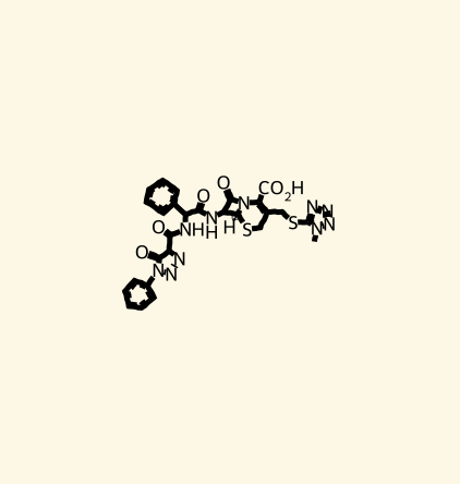 Cn1nnnc1SCC1=C(C(=O)O)N2C(=O)C(NC(=O)C(NC(=O)C3N=NN(c4ccccc4)C3=O)c3ccccc3)[C@@H]2SC1